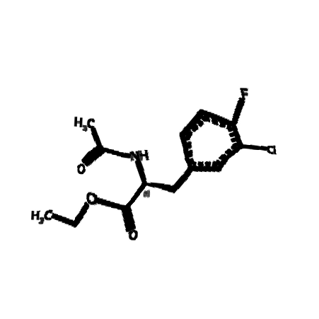 CCOC(=O)[C@H](Cc1ccc(F)c(Cl)c1)NC(C)=O